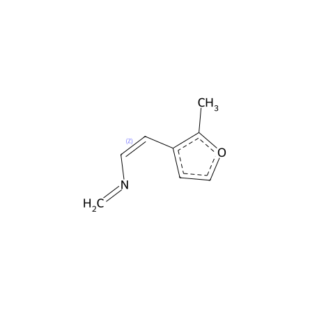 C=N/C=C\c1ccoc1C